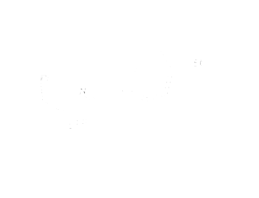 CCc1ccc(-c2csc(CC(C)C)n2)cc1